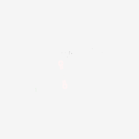 O=C(O)c1cccc(S(=O)(=O)CCCl)c1[N+](=O)[O-]